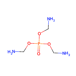 NCOP(=O)(OCN)OCN